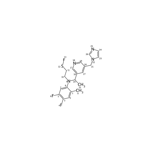 Cc1cc(F)c(F)cc1N(CCSF)C(C)c1cncc(Cn2ccnc2)c1